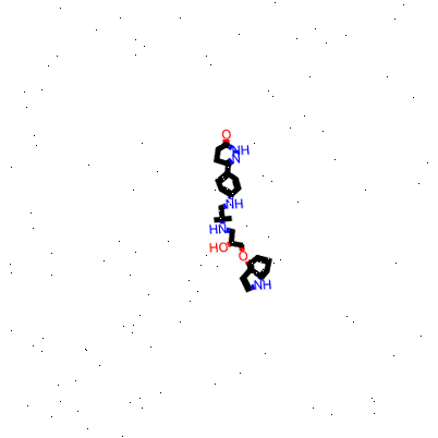 CC(C)(CNc1ccc(C2=NNC(=O)CC2)cc1)NCC(O)COc1cccc2[nH]ccc12